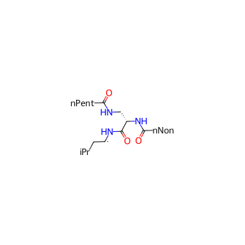 CCCCCCCCCC(=O)N[C@@H](CNC(=O)CCCCC)C(=O)N[CH]CC(C)C